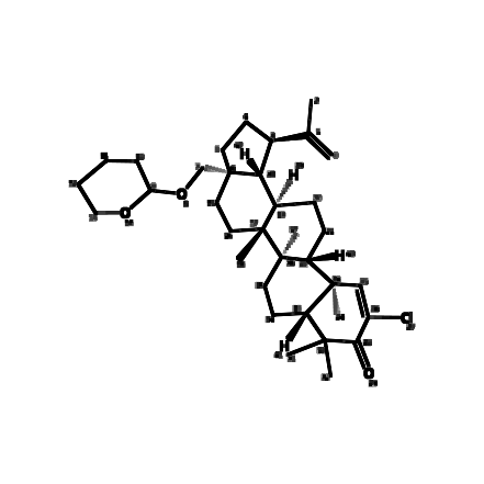 C=C(C)[C@@H]1CC[C@]2(COC3CCCCO3)CC[C@]3(C)[C@H](CC[C@@H]4[C@@]5(C)C=C(Cl)C(=O)C(C)(C)[C@@H]5CC[C@]43C)[C@@H]12